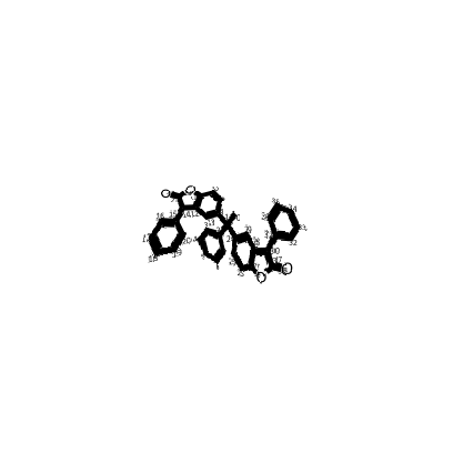 CC(c1ccccc1)(c1ccc2c(c1)C(c1ccccc1)C(=O)O2)c1ccc2c(c1)C(c1ccccc1)C(=O)O2